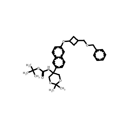 CC(C)(C)OC(=O)NC1(c2ccc3cc(OC4CC(COCc5ccccc5)C4)ccc3c2)COC(C)(C)OC1